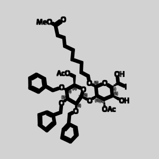 COC(=O)CCCCCCCCO[C@H]1O[C@H](C(O)I)[C@@H](O)[C@H](OC(C)=O)[C@H]1O[C@@H]1O[C@H](COC(C)=O)[C@@H](OCc2ccccc2)[C@H](OCc2ccccc2)[C@H]1OCc1ccccc1